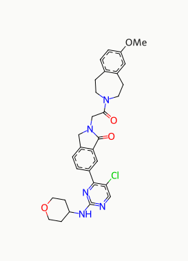 COc1ccc2c(c1)CCN(C(=O)CN1Cc3ccc(-c4nc(NC5CCOCC5)ncc4Cl)cc3C1=O)CC2